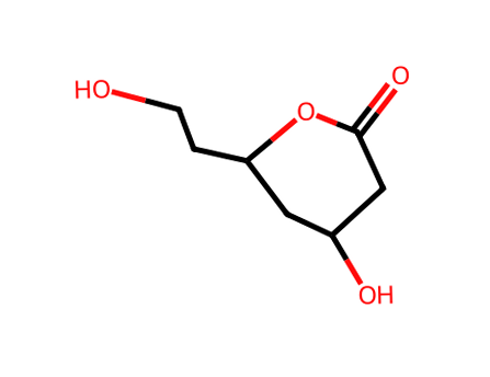 O=C1CC(O)CC(CCO)O1